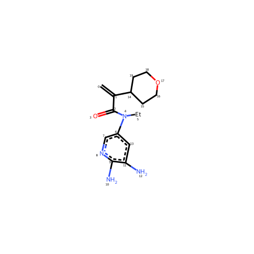 C=C(C(=O)N(CC)c1cnc(N)c(N)c1)C1CCOCC1